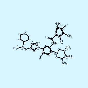 Cc1c(F)c(N)cc(C(=O)Nc2cc(-n3cc(CN(C)C4CCOCC4)nn3)c(F)cc2N2C[C@@H](C)N(C)[C@@H](C)C2)c1Cl